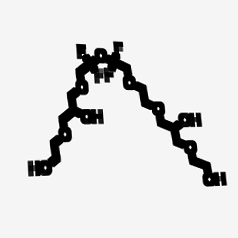 OCCOCC(O)COCCOCC(F)(F)OC(F)(F)COCC(O)COCCO